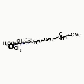 COCCOCCC(=O)NCCCOCCOCCOCCCNC(=O)/C=C(C)/C=C/C=C(C)/C=C/C1=C(C)CCCC1(C)C